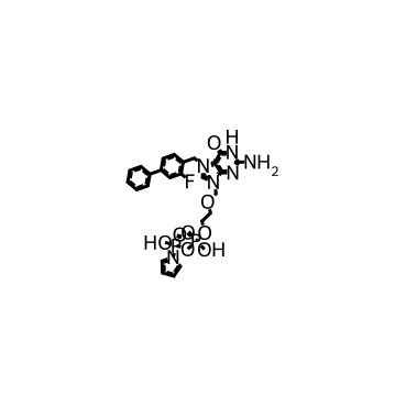 Nc1nc2c(c(=O)[nH]1)[n+](Cc1ccc(-c3ccccc3)cc1F)cn2COCCOP(=O)(O)OP(=O)(O)n1cccc1